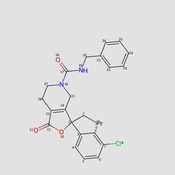 CC(C)CC1(c2cccc(Cl)c2)OC(=O)C2=C1CN(C(=O)NCc1ccccc1)CC2